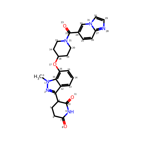 Cn1nc(C2CCC(=O)NC2=O)c2cccc(OC3CCN(C(=O)c4ccc5nccn5c4)CC3)c21